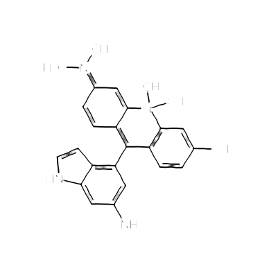 Cc1ccc2c(c1)[Si](C)(C)C1=CC(=[N+](C)C)C=CC1=C2c1cc(N)cc2[nH]ccc12